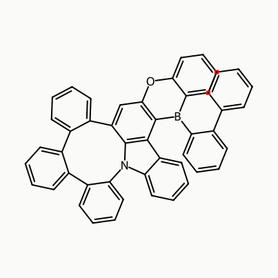 c1ccc(-c2ccccc2B2c3ccccc3Oc3cc4c5ccccc5c5ccccc5c5ccccc5n5c6ccccc6c(c32)c45)cc1